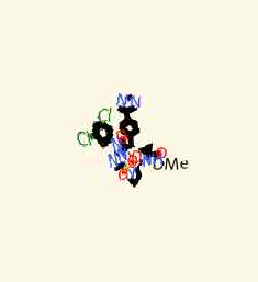 COC(=O)C1(NC(=O)[C@@H]2CCCN2S(=O)(=O)c2cnc3n2[C@](C)(Cc2ccc(-c4cncnc4)cc2)C(=O)N3c2cc(Cl)cc(Cl)c2)CC1